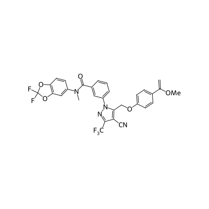 C=C(OC)c1ccc(OCc2c(C#N)c(C(F)(F)F)nn2-c2cccc(C(=O)N(C)c3ccc4c(c3)OC(F)(F)O4)c2)cc1